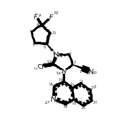 N#C[C@@H]1CN([C@H]2CCC(F)(F)C2)C(=O)N1c1cncc2ccccc12